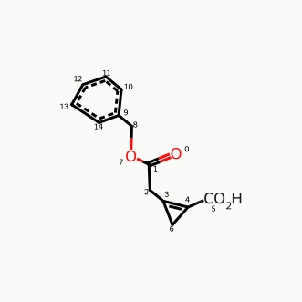 O=C(CC1=C(C(=O)O)C1)OCc1ccccc1